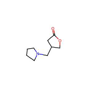 O=C1CC(CN2CCCC2)CO1